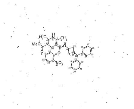 COC(=O)C1=C(C)NC(C)=C(C(=O)OC2CN(C(c3ccccc3)c3ccccc3)C2)C1c1cccc([N+](=O)[O-])c1